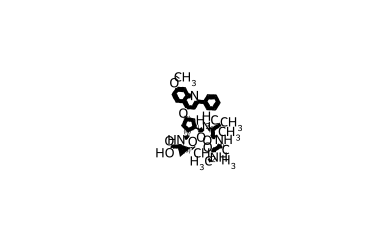 C=C[C@@H]1C[C@]1(NC(=O)[C@@H]1C[C@@H](Oc2cc(-c3ccccc3)nc3cc(OC)ccc23)C[C@H]1C(=O)N[C@H](C(=O)N[C@@H](C)C(=O)NC)C(C)(C)C)C(=O)O